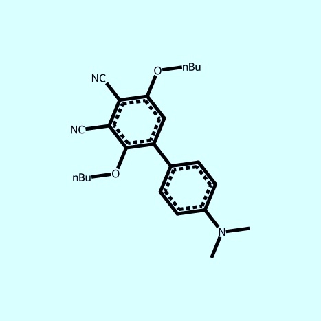 CCCCOc1cc(-c2ccc(N(C)C)cc2)c(OCCCC)c(C#N)c1C#N